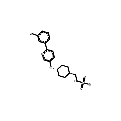 CCS(=O)(=O)NC[C@H]1CC[C@H](Nc2ccc(-c3cccc(Cl)c3)nn2)CC1